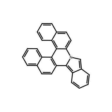 c1ccc2c(c1)ccc1c2c2c3ccccc3ccc2n2cc3ccccc3c12